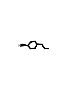 CCCC1CCC(C#N)CC1